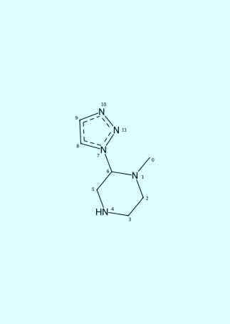 CN1CCNCC1n1ccnn1